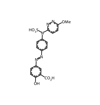 COc1ccc(N(c2ccc(N=Nc3ccc(O)c(C(=O)O)c3)cc2)S(=O)(=O)O)nn1